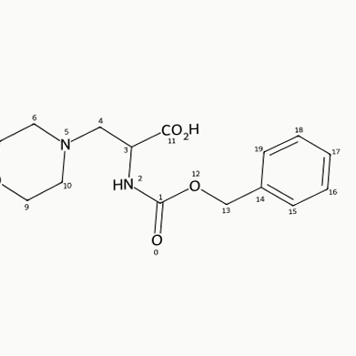 O=C(NC(CN1CCOCC1)C(=O)O)OCc1ccccc1